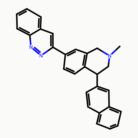 CN1Cc2cc(-c3cc4ccccc4nn3)ccc2C(c2ccc3ccccc3c2)C1